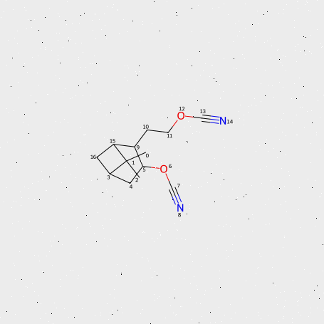 CC1(C)C2CC(OC#N)C(CCOC#N)C1C2